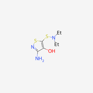 CCN(CC)Sc1snc(N)c1O